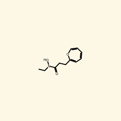 CCN(O)C(=O)CCC1=CC=CC=CO1